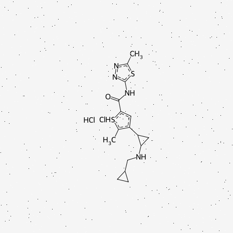 Cc1nnc(NC(=O)c2cc(C3CC3NCC3CC3)c(C)s2)s1.Cl.Cl